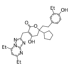 CCc1cc(CC)n2nc(CC3=C(O)CC(CCc4ccc(O)c(CC)c4)(C4CCCC4)OC3=O)nc2n1